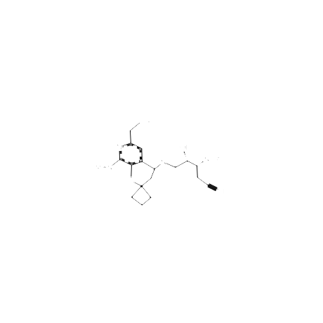 C#CC[C@H](NC(C)=O)[C@H](O)CNC1CC2(CCC2)Oc2c1cc(CC(C)(C)C)nc2NC